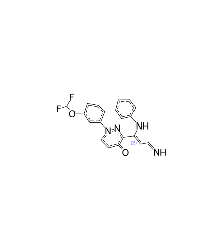 N=C/C=C(\Nc1ccccc1)c1nn(-c2cccc(OC(F)F)c2)ccc1=O